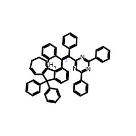 Cc1ccccc1/C(=C(\c1ccccc1)c1nc(-c2ccccc2)nc(-c2ccccc2)n1)c1cccc2c1C1=C(C=CCCC1)C2(c1ccccc1)c1ccccc1